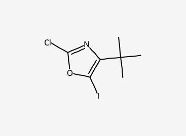 CC(C)(C)c1nc(Cl)oc1I